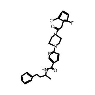 CC(CCc1ccccc1)NC(=O)c1ccc(N2CCN(C(=O)Cc3c(F)cccc3Cl)CC2)nc1